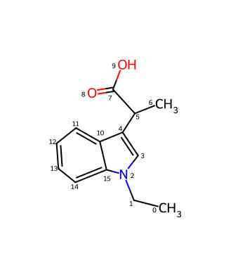 CCn1cc(C(C)C(=O)O)c2ccccc21